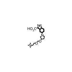 C[Si](C)(C)CCOCOC1CCN(c2ccc3snc(C(=O)O)c3c2)C1